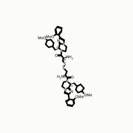 COc1ccccc1-c1cn2c(n1)[C@H](CC1CCC(OC)CC1)N(C(=O)[C@@H](N)CSSC[C@H](N)C(=O)N1CCn3cc(-c4ccccc4OC)nc3[C@@H]1CC1CCC(OC)CC1)CC2